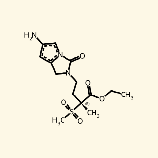 CCOC(=O)[C@@](C)(CCN1Cc2cc(N)cn2C1=O)S(C)(=O)=O